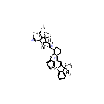 C=CC1=C(/C=C\C)N(CCC)C(/C=C/C2=C(Sc3ccccc3)C(=C/C=C3\N(CCC)c4ccccc4C3(C)C)/CCC2)C1(C)C